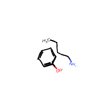 CCCCN.Oc1ccccc1